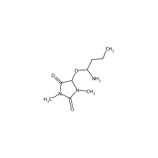 CCCC(N)OC1C(=O)N(C)C(=O)N1C